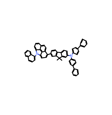 CC1(C)c2cc(-c3ccc4c5c3ccc3cccc(c35)n4-c3cccc4ccccc34)ccc2-c2ccc(N(c3ccc(-c4ccccc4)cc3)c3ccc(-c4ccccc4)cc3)cc21